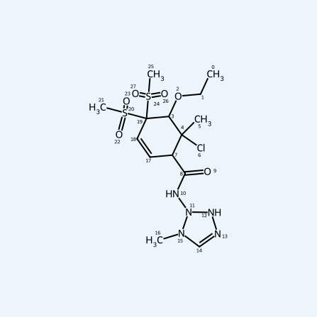 CCOC1C(C)(Cl)C(C(=O)NN2NN=CN2C)C=CC1(S(C)(=O)=O)S(C)(=O)=O